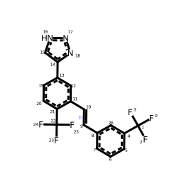 FC(F)(F)c1cccc(/C=C/c2cc(-c3c[nH]nn3)ccc2C(F)(F)F)c1